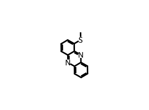 CSc1cccc2nc3ccccc3nc12